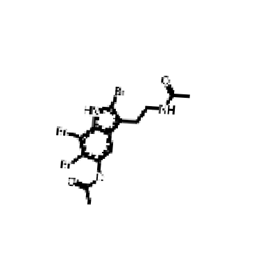 CC(=O)NCCc1c(Br)[nH]c2c(Br)c(Br)c(OC(C)=O)cc12